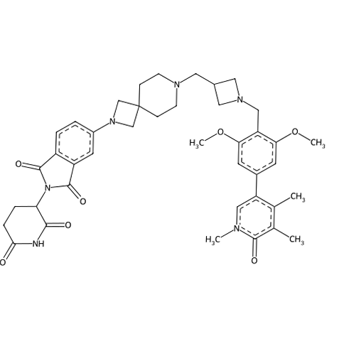 COc1cc(-c2cn(C)c(=O)c(C)c2C)cc(OC)c1CN1CC(CN2CCC3(CC2)CN(c2ccc4c(c2)C(=O)N(C2CCC(=O)NC2=O)C4=O)C3)C1